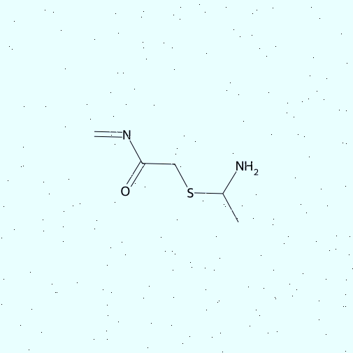 C=NC(=O)CSC(C)N